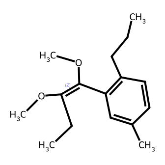 CCCc1ccc(C)cc1/C(OC)=C(\CC)OC